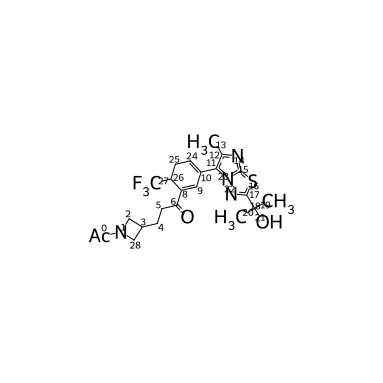 CC(=O)N1CC(CCC(=O)C2=CC(c3c(C)nc4sc(C(C)(C)O)nn34)=CCC2C(F)(F)F)C1